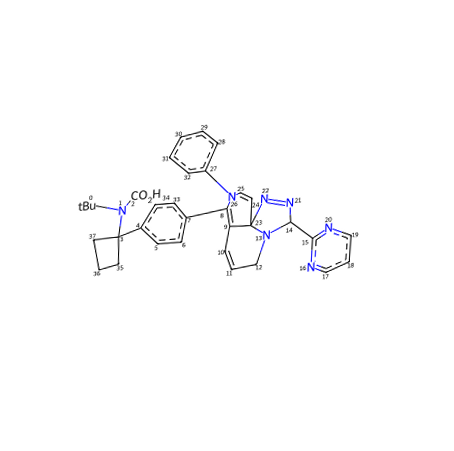 CC(C)(C)N(C(=O)O)C1(c2ccc(C3=C4C=CCN5C(c6ncccn6)N=NC45C=CN3c3ccccc3)cc2)CCC1